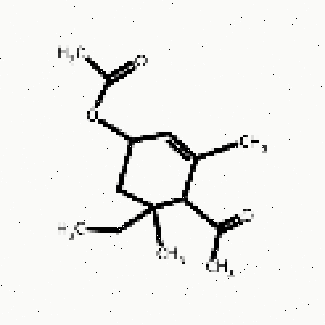 CCC1(C)CC(OC(C)=O)C=C(C)C1C(C)=O